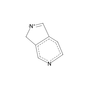 C1=[N+]Cc2cnccc21